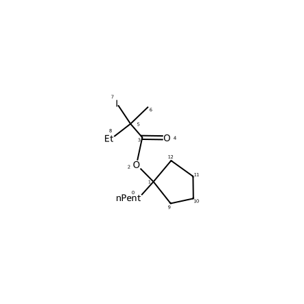 CCCCCC1(OC(=O)C(C)(I)CC)CCCC1